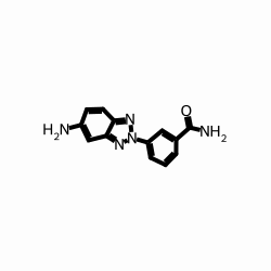 NC(=O)c1cccc(-n2nc3ccc(N)cc3n2)c1